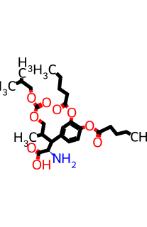 CCCCC(=O)Oc1ccc(C(C(C)COC(=O)OCC(C)C)[C@H](N)C(=O)O)cc1OC(=O)CCCC